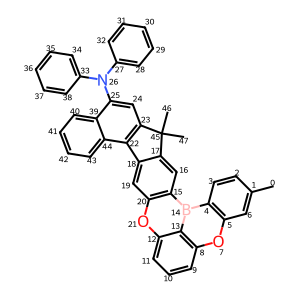 Cc1ccc2c(c1)Oc1cccc3c1B2c1cc2c(cc1O3)-c1c(cc(N(c3ccccc3)c3ccccc3)c3ccccc13)C2(C)C